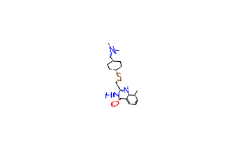 Cc1cccc2c(=O)[nH]c(CS[C@H]3CC[C@H](CN(C)C)CC3)nc12